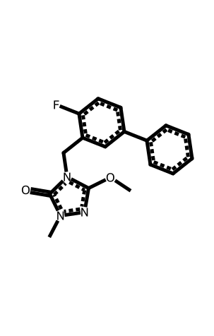 COc1nn(C)c(=O)n1Cc1cc(-c2ccccc2)ccc1F